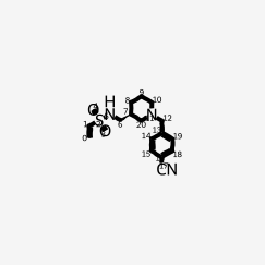 C=CS(=O)(=O)NC[C@H]1CCCN(Cc2ccc(C#N)cc2)C1